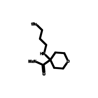 CNC(=O)C1(NCCCC(C)(C)C)CCOCC1